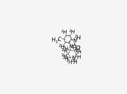 [2H]c1c(C)c([2H])c2c(c1[2H])n([2H])c(=O)n2C1([2H])C([2H])([2H])C([2H])([2H])N([2H])C([2H])([2H])C1([2H])[2H]